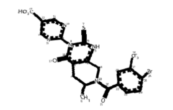 CC1Cc2c([nH]c(=S)n(-c3ncc(C(=O)O)cn3)c2=O)CN1C(=O)c1ccc(Br)c(C(F)(F)F)c1